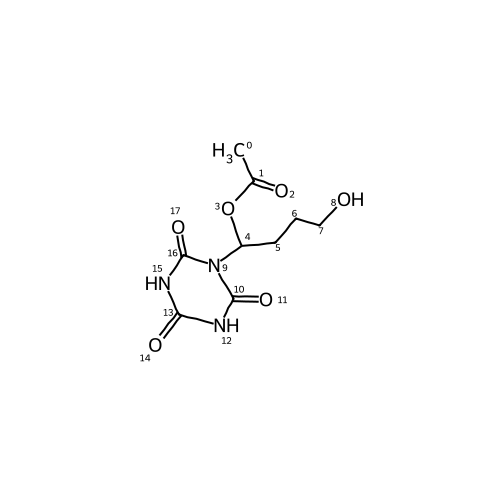 CC(=O)OC(CCCO)n1c(=O)[nH]c(=O)[nH]c1=O